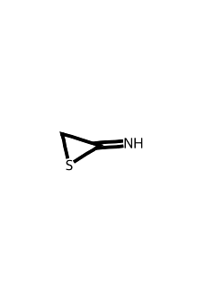 N=C1CS1